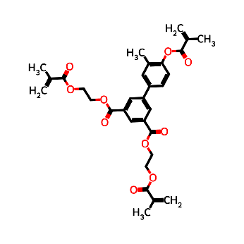 C=C(C)C(=O)OCCOC(=O)c1cc(C(=O)OCCOC(=O)C(=C)C)cc(-c2ccc(OC(=O)C(=C)C)c(C)c2)c1